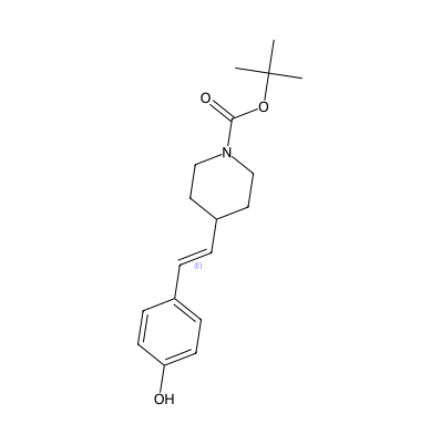 CC(C)(C)OC(=O)N1CCC(/C=C/c2ccc(O)cc2)CC1